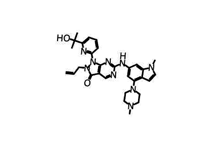 C=CCn1c(=O)c2cnc(Nc3cc(N4CCN(C)CC4)c4ccn(C)c4c3)nc2n1-c1cccc(C(C)(C)O)n1